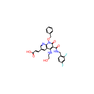 O=C(O)/C=C/c1cnc2c(c1)c(NCCO)c(C(=O)NCc1ccc(F)cc1F)c(=O)n2OCc1ccccc1